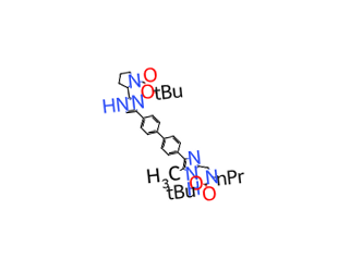 CCCN(Cc1nc(-c2ccc(-c3ccc(-c4c[nH]c(C5CCCN5C(=O)OC(C)(C)C)n4)cc3)cc2)c(C)[nH]1)C(=O)OC(C)(C)C